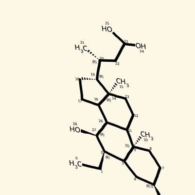 CC[C@@H]1C2C[C@H](O)CC[C@]2(C)C2CC[C@@]3(C)C(CC[C@@H]3[C@H](C)CC(O)O)C2[C@@H]1O